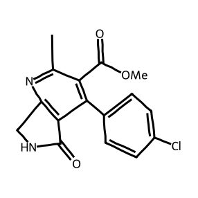 COC(=O)c1c(C)nc2c(c1-c1ccc(Cl)cc1)C(=O)NC2